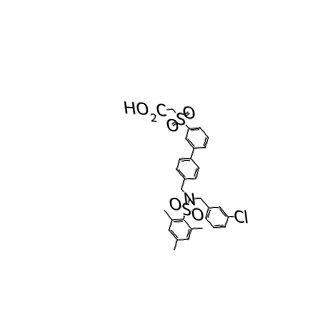 Cc1cc(C)c(S(=O)(=O)N(Cc2ccc(-c3cccc(S(=O)(=O)CC(=O)O)c3)cc2)Cc2cccc(Cl)c2)c(C)c1